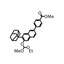 CCOC(OC)Oc1cc2ccc(-c3ccc(C(=O)OC)cc3)cc2cc1C12CC3CC(CC(C3)C1)C2